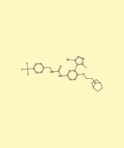 Cn1ncc(Br)c1-c1cc(NC(=O)NCc2ccc(C(F)(F)F)cc2)ccc1OCCN1C2CCC1CC2